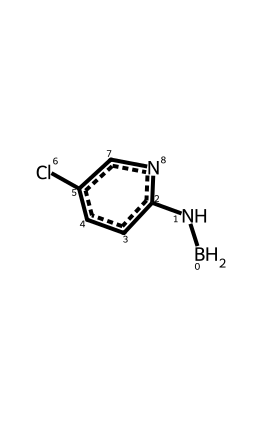 BNc1ccc(Cl)cn1